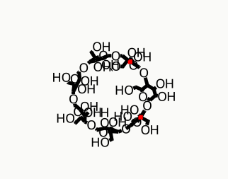 COCC1OC2OC3C(CO)OC(OC4C(CO)OC(OC5C(CO)OC(OC6C(CO)OC(OC7C(CO)OC(OC8C(CO)OC(OC1C(O)C2O)C(O)C8O)C(O)C7O)C(O)C6O)C(O)C5O)C(O)C4O)C(O)C3O